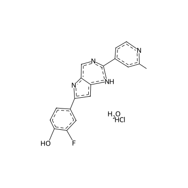 Cc1cc(-c2ncc3nc(-c4ccc(O)c(F)c4)cc-3[nH]2)ccn1.Cl.O